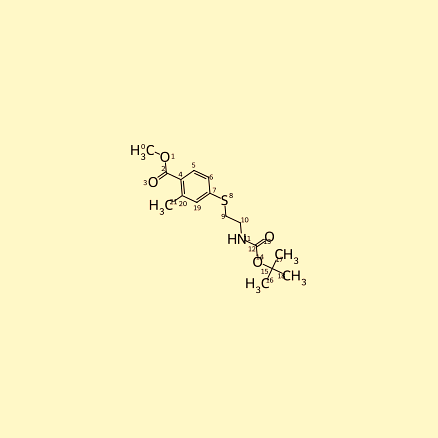 COC(=O)c1ccc(SCCNC(=O)OC(C)(C)C)cc1C